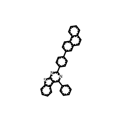 c1ccc(-c2nc(-c3ccc(-c4ccc5c(ccc6ccccc65)c4)cc3)nc3sc4ccccc4c23)cc1